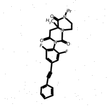 CC(C)N1CCN2C(=O)N(c3c(F)cc(C#Cc4ccccc4)cc3F)C(=O)CC2(C)C1=O